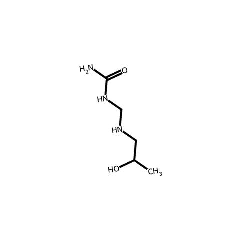 CC(O)CNCNC(N)=O